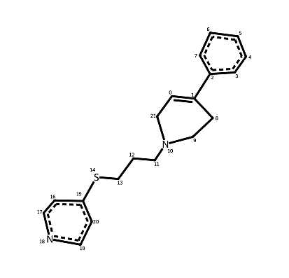 C1=C(c2ccccc2)CCN(CCCSc2ccncc2)C1